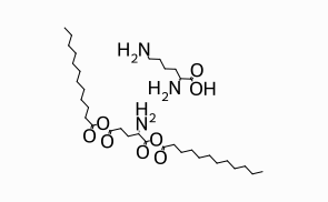 CCCCCCCCCCCC(=O)OC(=O)CC[C@H](N)C(=O)OC(=O)CCCCCCCCCCC.NCCCC[C@H](N)C(=O)O